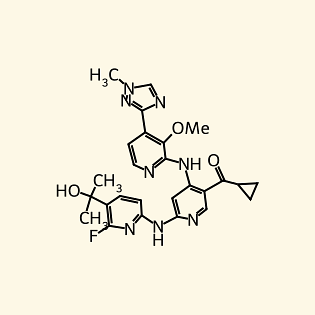 COc1c(-c2ncn(C)n2)ccnc1Nc1cc(Nc2ccc(C(C)(C)O)c(F)n2)ncc1C(=O)C1CC1